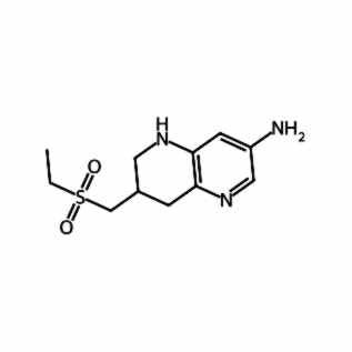 CCS(=O)(=O)CC1CNc2cc(N)cnc2C1